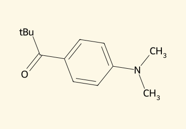 CN(C)c1ccc(C(=O)C(C)(C)C)cc1